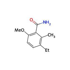 CCc1ccc(OC)c(C(N)=O)c1C